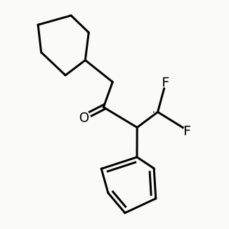 O=C(CC1CCCCC1)C([C](F)F)c1ccccc1